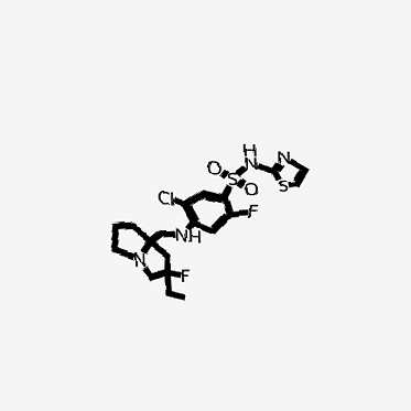 CCC1(F)CN2CCCC2(CNc2cc(F)c(S(=O)(=O)Nc3nccs3)cc2Cl)C1